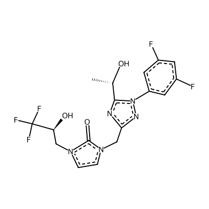 C[C@H](O)c1nc(Cn2ccn(C[C@H](O)C(F)(F)F)c2=O)nn1-c1cc(F)cc(F)c1